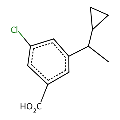 CC(c1cc(Cl)cc(C(=O)O)c1)C1CC1